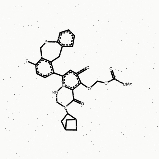 COC(=O)OCOc1c2n(c(-c3ccc(F)c4c3Cc3ccccc3SC4)cc1=O)NCN(C1CC3CC1C3)C2=O